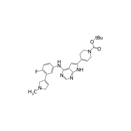 CN1CC=C(c2cc(Nc3ncnc4[nH]c(C5=CCN(C(=O)OC(C)(C)C)CC5)cc34)ccc2F)C1